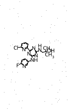 CC(C)(O)CNc1nc(Nc2ccc(F)nc2)nc(-c2cccc(Cl)n2)n1